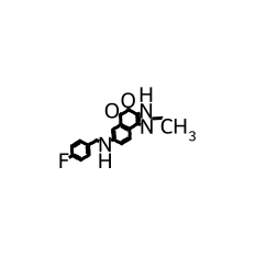 CCc1nc2c([nH]1)C(=O)C(=O)c1cc(NCc3ccc(F)cc3)ccc1-2